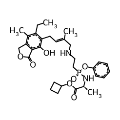 CCc1c(C)c2c(c(O)c1C/C=C(\C)CNCCP(=O)(N[C@@H](C)C(=O)OC1CCC1)Oc1ccccc1)C(=O)OC2